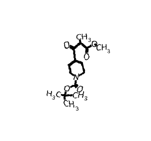 COC(=O)C(C)C(=O)C1CCN(C(=O)OC(C)(C)C)CC1